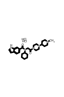 CN1CCC(N2CCN(C(=O)CN(C(=O)c3ccc4cc[nH]c4c3)C3CCCCC3)CC2)CC1.Cl.Cl